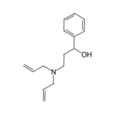 C=CCN(CC=C)CCC(O)c1ccccc1